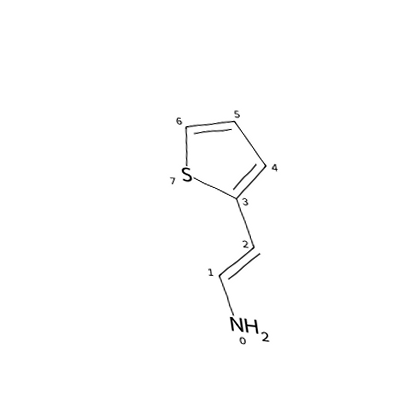 NC=Cc1cccs1